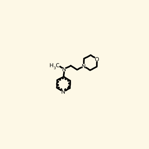 CN(CCN1CCOCC1)c1ccncc1